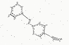 C#Cc1ccc(C=Cc2ccccc2)cc1